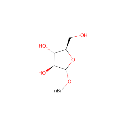 CCCCO[C@H]1O[C@H](CO)[C@@H](O)[C@@H]1O